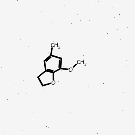 COc1cc(C)cc2c1OCC2